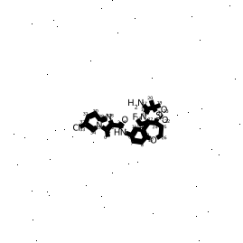 Cc1c(C(=O)Nc2ccc3c(c2)C2(CF)N=C(N)C(C)(C)S(=O)(=O)C2CCO3)nc2ccc(Cl)cn12